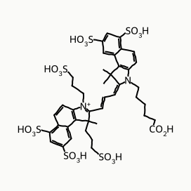 CC1(CCCS(=O)(=O)O)C(/C=C/C=C2/N(CCCCCC(=O)O)c3ccc4c(S(=O)(=O)O)cc(S(=O)(=O)O)cc4c3C2(C)C)=[N+](CCCS(=O)(=O)O)c2ccc3c(S(=O)(=O)O)cc(S(=O)(=O)O)cc3c21